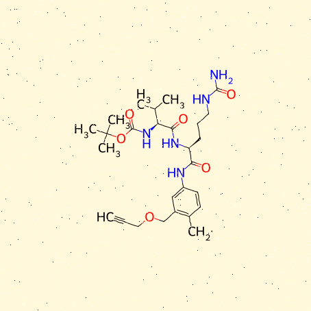 C#CCOCc1cc(NC(=O)[C@H](CCCNC(N)=O)NC(=O)[C@@H](NC(=O)OC(C)(C)C)C(C)C)ccc1[CH2]